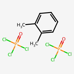 Cc1ccccc1C.O=P(Cl)(Cl)Cl.O=P(Cl)(Cl)Cl